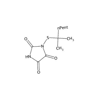 CCCCCC(C)(C)SN1C(=O)NC(=O)C1=O